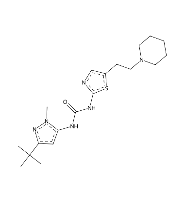 Cn1nc(C(C)(C)C)cc1NC(=O)Nc1ncc(CCN2CCCCC2)s1